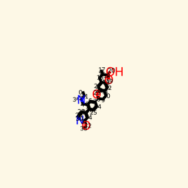 CCN(C)Cc1cc([C@@H]2CCc3ccc(CC(C)C(=O)O)cc3O2)ccc1-c1ccnc(OC)c1